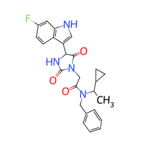 CC(C1CC1)N(Cc1ccccc1)C(=O)CN1C(=O)NC(c2c[nH]c3cc(F)ccc23)C1=O